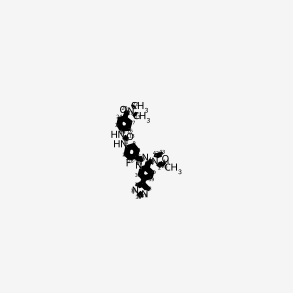 CC1CN(c2nc(-c3ccc(NC(=O)Nc4ccc(C(=O)N(C)C)cc4)cc3F)nc3cc(-c4cncnc4)ccc23)CCO1